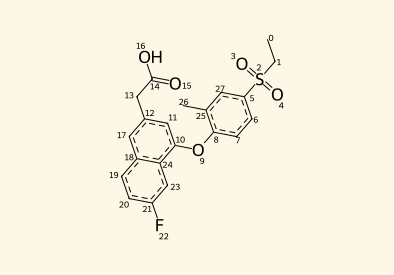 CCS(=O)(=O)c1ccc(Oc2cc(CC(=O)O)cc3ccc(F)cc23)c(C)c1